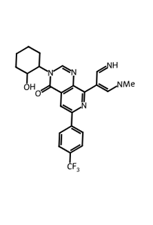 CN/C=C(\C=N)c1nc(-c2ccc(C(F)(F)F)cc2)cc2c(=O)n(C3CCCCC3O)cnc12